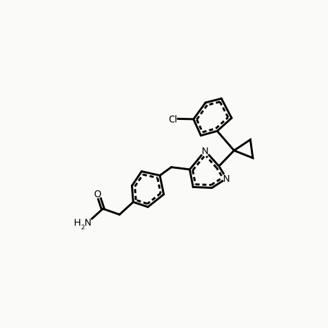 NC(=O)Cc1ccc(Cc2ccnc(C3(c4cccc(Cl)c4)CC3)n2)cc1